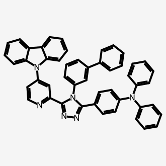 c1ccc(-c2cccc(-n3c(-c4ccc(N(c5ccccc5)c5ccccc5)cc4)nnc3-c3cc(-n4c5ccccc5c5ccccc54)ccn3)c2)cc1